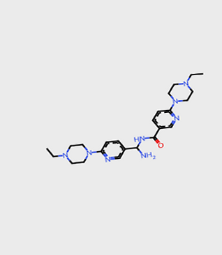 CCN1CCN(c2ccc(C(=O)NC(N)c3ccc(N4CCN(CC)CC4)nc3)cn2)CC1